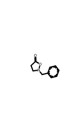 O=C1CCN(Cc2ccccc2)O1